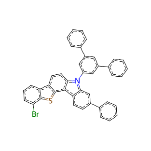 Brc1cccc2c1sc1c2ccc2c1c1ccc(-c3ccccc3)cc1n2-c1cc(-c2ccccc2)cc(-c2ccccc2)c1